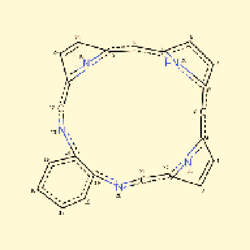 C1=Cc2cc3ccc(cc4nc(cnc5ccccc5ncc1n2)C=C4)[nH]3